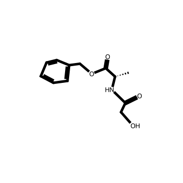 C[C@H](NC(=O)CO)C(=O)OCc1ccccc1